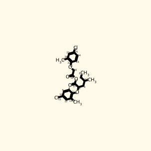 CCC(C)CC(Oc1ccc(Cl)cc1C)C(=O)OC(=O)COc1ccc(Cl)cc1C